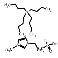 CCCC[N+](CCCC)(CCCC)CCCC.CCn1cc[n+](C)c1.CS(=O)(=O)O